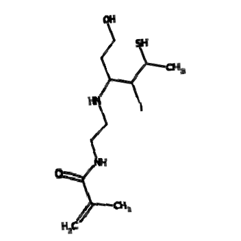 C=C(C)C(=O)NCCNC(CCO)C(I)C(C)S